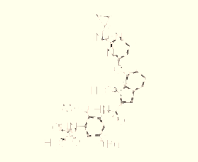 COc1c(NC(=O)c2cc3cccc(Oc4ccnc(NC5CC5)n4)c3n2C)cc(C(C)(C)C)cc1NS(C)(=O)=O